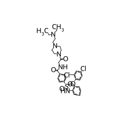 CCN(CC)CCN1CCN(C(=O)CNC(=O)c2ccc(S(=O)(=O)Nc3ccccc3Oc3ccc(Cl)cc3Cl)cc2)CC1